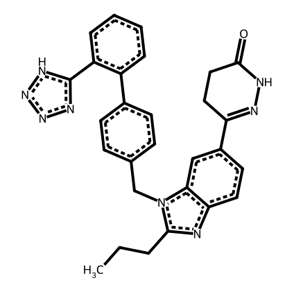 CCCc1nc2ccc(C3=NNC(=O)CC3)cc2n1Cc1ccc(-c2ccccc2-c2nnn[nH]2)cc1